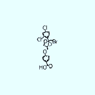 O=C(O)c1ccc(OCC2COC(CBr)(c3ccc(Cl)cc3Cl)O2)cc1